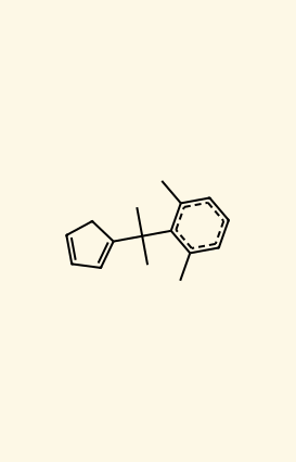 Cc1cccc(C)c1C(C)(C)C1=CC=CC1